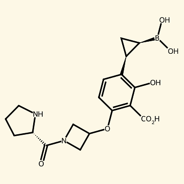 O=C(O)c1c(OC2CN(C(=O)[C@@H]3CCCN3)C2)ccc([C@H]2C[C@H]2B(O)O)c1O